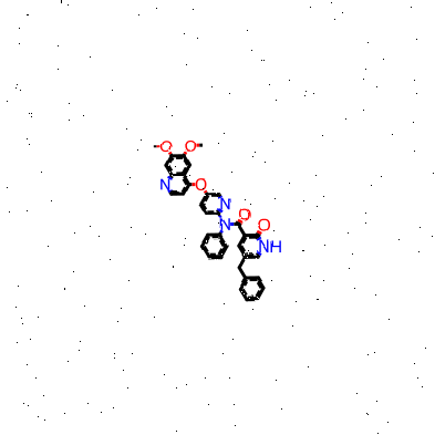 COc1cc2nccc(Oc3ccc(N(C(=O)c4cc(Cc5ccccc5)c[nH]c4=O)c4ccccc4)nc3)c2cc1OC